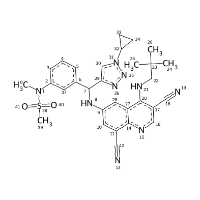 CN(c1cccc(C(Nc2cc(C#N)c3ncc(C#N)c(NCC(C)(C)C)c3c2)c2cn(C3CC3)nn2)c1)S(C)(=O)=O